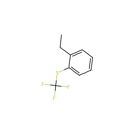 CCc1cc[c]cc1SC(F)(F)F